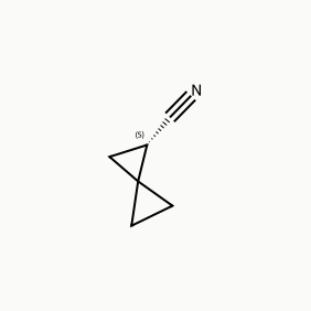 N#C[C@H]1CC12CC2